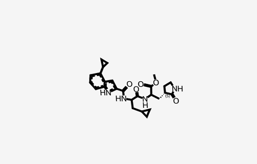 COC(=O)C(C[C@@H]1CCNC1=O)NC(=O)C(CC1CC1)NC(=O)c1cc2c(C3CC3)cccc2[nH]1